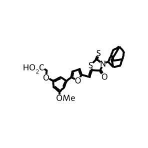 COc1cc(OCC(=O)O)cc(-c2ccc(/C=C3\SC(=S)N(C4C5CC6CC(C5)CC4C6)C3=O)o2)c1